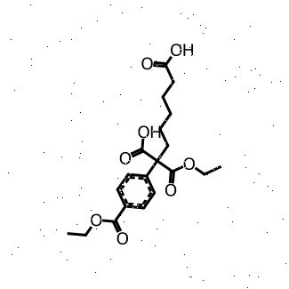 CCOC(=O)c1ccc(C(CCCCCC(=O)O)(C(=O)O)C(=O)OCC)cc1